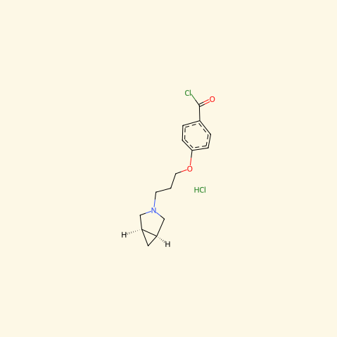 Cl.O=C(Cl)c1ccc(OCCCN2C[C@H]3C[C@H]3C2)cc1